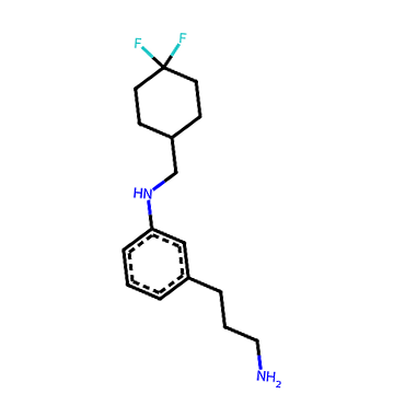 NCCCc1cccc(NCC2CCC(F)(F)CC2)c1